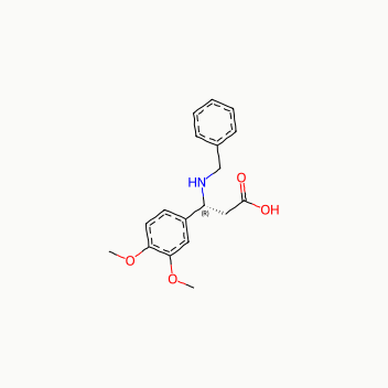 COc1ccc([C@@H](CC(=O)O)NCc2ccccc2)cc1OC